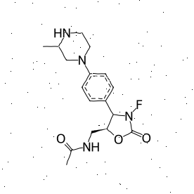 CC(=O)NC[C@@H]1OC(=O)N(F)C1c1ccc(N2CCNC(C)C2)cc1